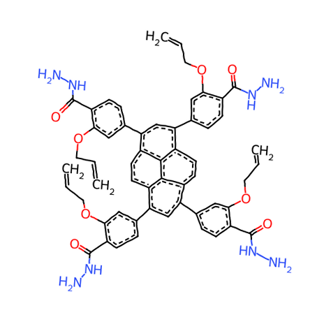 C=CCOc1cc(-c2cc(-c3ccc(C(=O)NN)c(OCC=C)c3)c3ccc4c(-c5ccc(C(=O)NN)c(OCC=C)c5)cc(-c5ccc(C(=O)NN)c(OCC=C)c5)c5ccc2c3c54)ccc1C(=O)NN